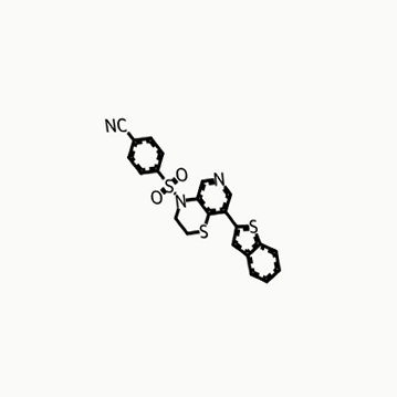 N#Cc1ccc(S(=O)(=O)N2CCSc3c(-c4cc5ccccc5s4)cncc32)cc1